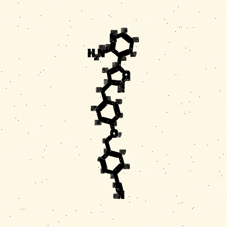 N#Cc1ccc(COc2ccc(Cc3cc(-c4cccnc4N)on3)cc2)cc1